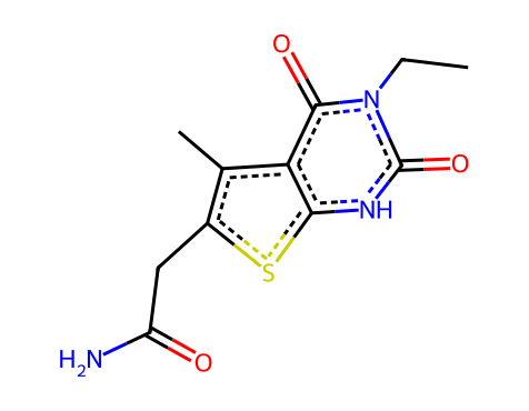 CCn1c(=O)[nH]c2sc(CC(N)=O)c(C)c2c1=O